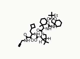 C#CCNC(=O)C(=O)C(CC1CCC1)NC(=O)[C@@H]1[C@@H]2[C@H](CN1C(=O)[C@@H](NC(=O)NC1(CS(=O)(=O)C(C)(C)CC)CCCCC1)C1(C)CCCCC1)C2(C)C